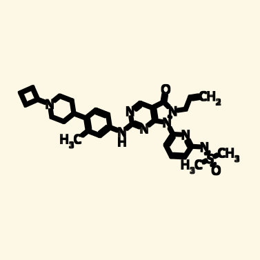 C=CCn1c(=O)c2cnc(Nc3ccc(C4CCN(C5CCC5)CC4)c(C)c3)nc2n1-c1cccc(N=S(C)(C)=O)n1